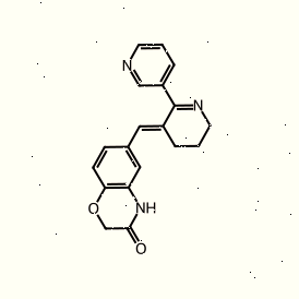 O=C1COc2ccc(C=C3CCCN=C3c3cccnc3)cc2N1